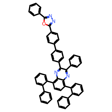 c1ccc(-c2nnc(-c3ccc(-c4ccc(-c5nc6c(-c7ccccc7-c7ccccc7)ccc(-c7ccccc7-c7ccccc7)c6nc5-c5ccccc5)cc4)cc3)o2)cc1